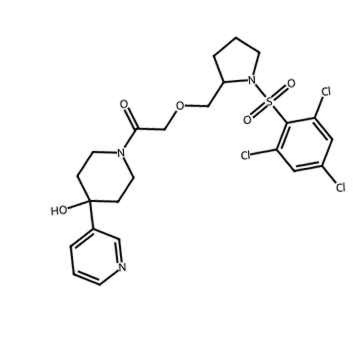 O=C(COCC1CCCN1S(=O)(=O)c1c(Cl)cc(Cl)cc1Cl)N1CCC(O)(c2cccnc2)CC1